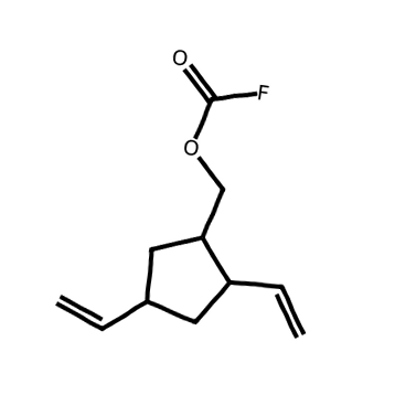 C=CC1CC(C=C)C(COC(=O)F)C1